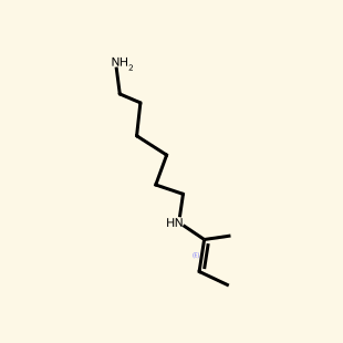 C/C=C(\C)NCCCCCCN